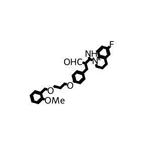 COc1ccccc1COCCCOc1ccc(CC(C=O)C(N)N2CCCc3cc(F)ccc32)cc1